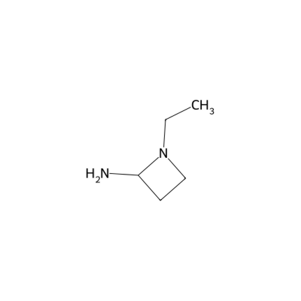 CCN1CCC1N